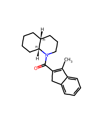 CC1=C(C(=O)N2CCC[C@H]3CCCC[C@H]32)Cc2ccccc21